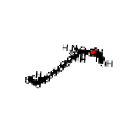 CCc1c2c(nc3ccc(O)cc13)-c1cc3c(c(=O)n1C2)COC(=O)[C@@]3(CC)OC(=O)OCc1ccc(NC(=O)[C@H](CCCCN)NC(=O)COCC(=O)NCCOCCOCCOCCOCCOCCOCCOCCOCCn2cc(CNC(=O)C3CCC(CN4C(=O)CC(C)C4=O)CC3)nn2)cc1